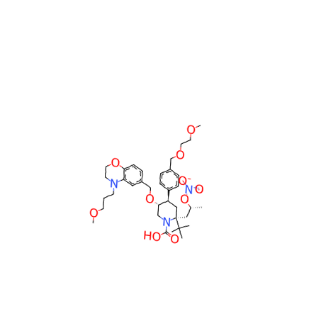 COCCCN1CCOc2ccc(CO[C@H]3CN(C(=O)O)[C@](C[C@@H](C)O[N+](=O)[O-])(C(C)(C)C)C[C@@H]3c3ccc(COCCOC)cc3)cc21